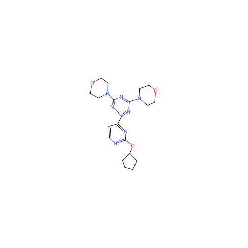 c1cc(-c2nc(N3CCOCC3)nc(N3CCOCC3)n2)nc(OC2CCCC2)n1